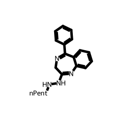 CCCCCNNC1=Nc2ccccc2C(c2ccccc2)=NC1